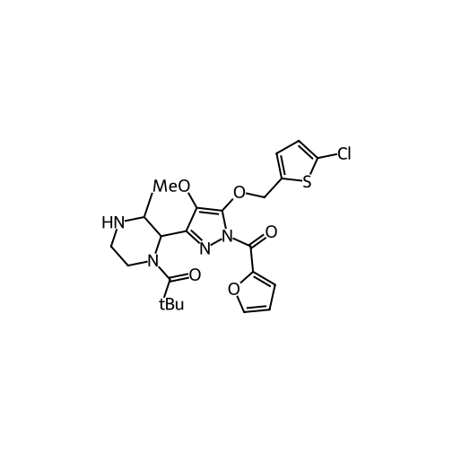 COc1c(C2C(C)NCCN2C(=O)C(C)(C)C)nn(C(=O)c2ccco2)c1OCc1ccc(Cl)s1